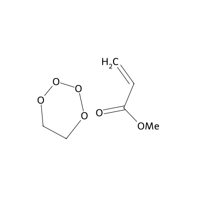 C1COOOO1.C=CC(=O)OC